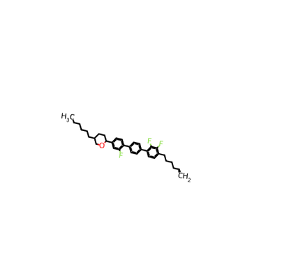 C=CCCCCc1ccc(-c2ccc(-c3ccc(C4CCC(CCCCCC)CO4)cc3F)cc2)c(F)c1F